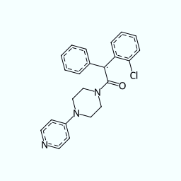 O=C([C](c1ccccc1)c1ccccc1Cl)N1CCN(c2ccncc2)CC1